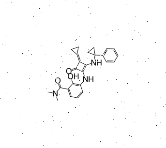 CN(C)C(=O)c1cccc(NC2=C(NC3(c4ccccc4)CC3)C(=C3CC3)C2=O)c1O